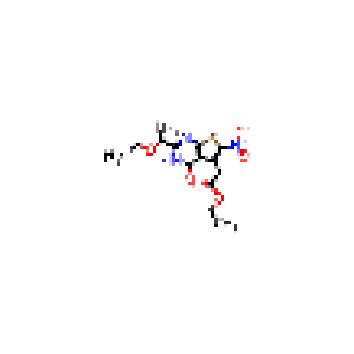 C=C(OCC)c1nc2sc([N+](=O)[O-])c(CC(=O)OCC)c2c(=O)[nH]1